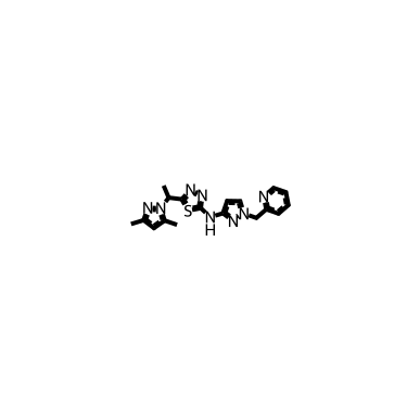 Cc1cc(C)n(C(C)c2nnc(Nc3ccn(Cc4ccccn4)n3)s2)n1